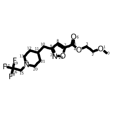 COCCOC(=O)c1cc(CC2CCN(CC(F)(F)F)CC2)no1